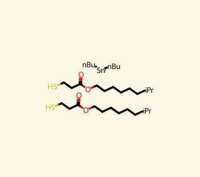 CC(C)CCCCCCOC(=O)CCS.CC(C)CCCCCCOC(=O)CCS.CCC[CH2][Sn][CH2]CCC